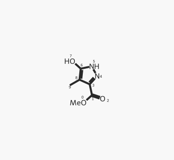 COC(=O)c1n[nH]c(O)c1C